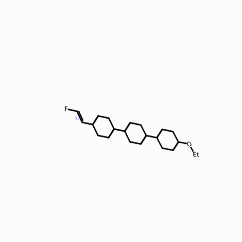 CCOC1CCC(C2CCC(C3CCC(/C=C/F)CC3)CC2)CC1